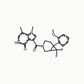 COc1ccccc1C12CCN(C(=O)c3cn(C)c4c(C)c[nH]c(=O)c34)CC1C2(F)F